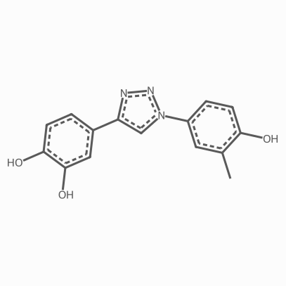 Cc1cc(-n2cc(-c3ccc(O)c(O)c3)nn2)ccc1O